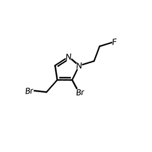 FCCn1ncc(CBr)c1Br